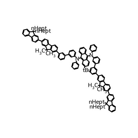 CCCCCCCC1(CCCCCCC)c2ccccc2-c2ccc(-c3ccc4c(c3)C(C)(C)c3cc(-c5cccc(-c6cccc(N(c7ccccc7)c7c8ccccc8c(N(c8ccccc8)c8cccc(-c9cccc(-c%10ccc%11c(c%10)C(C)(C)c%10cc(-c%12ccc%13c(c%12)C(CCCCCCC)(CCCCCCC)c%12ccccc%12-%13)ccc%10-%11)c9)c8)c8cc(C(C)(C)C)ccc78)c6)c5)ccc3-4)cc21